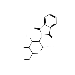 COC1OC(CO)C(O)C(O)C1N1C(=O)c2ccccc2C1=O